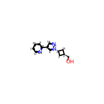 OC[C@H]1C[C@H](n2cc(-c3ccccn3)cn2)C1